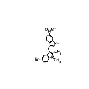 Cc1c(Cc2c[nH]c3cc([N+](=O)[O-])ccc23)c2cc(Br)ccc2n1C